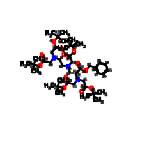 CC(C)(C)OC(=O)CN(CCN(CC(=O)OC(C)(C)C)C[C@H](C(=O)OCc1ccccc1)N(CC(=O)OC(C)(C)C)CC(=O)OC(C)(C)C)CC(=O)OC(C)(C)C